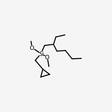 CCCCC(CC)C[Si](CC1CC1)(OC)OC